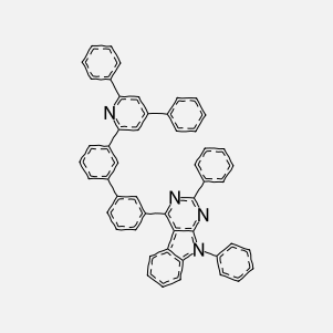 c1ccc(-c2cc(-c3ccccc3)nc(-c3cccc(-c4cccc(-c5nc(-c6ccccc6)nc6c5c5ccccc5n6-c5ccccc5)c4)c3)c2)cc1